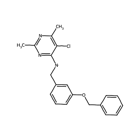 Cc1nc(C)c(Cl)c([N]Cc2cccc(OCc3ccccc3)c2)n1